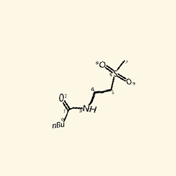 CCCCC(=O)NCCS(C)(=O)=O